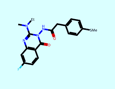 CCN(C)c1nc2cc(F)ccc2c(=O)n1NC(=O)Cc1ccc(SC)cc1